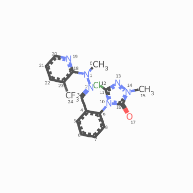 CN(/N=C/c1ccccc1-n1c(Cl)nn(C)c1=O)c1ncccc1C(F)(F)F